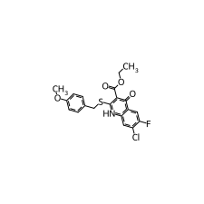 CCOC(=O)c1c(SCc2ccc(OC)cc2)[nH]c2cc(Cl)c(F)cc2c1=O